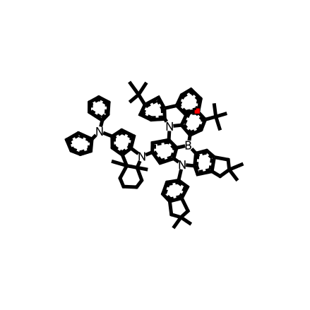 CC1(C)Cc2ccc(N3c4cc5c(cc4B4c6cc(C(C)(C)C)ccc6N(c6ccc(C(C)(C)C)cc6-c6ccccc6)c6cc(N7c8ccc(N(c9ccccc9)c9ccccc9)cc8C8(C)CCCCC78C)cc3c64)CC(C)(C)C5)cc2C1